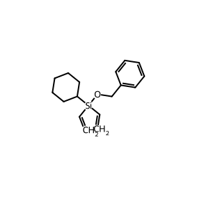 C=C[Si](C=C)(OCc1ccccc1)C1CCCCC1